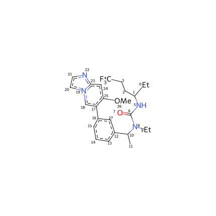 CCC(CCC(F)(F)F)NC(=O)N(CC)C(C)c1cccc(-c2cn3ccnc3cc2OC)c1